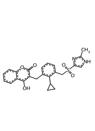 Cc1nc(S(=O)(=O)Cc2cccc(Cc3c(O)c4ccccc4oc3=O)c2C2CC2)c[nH]1